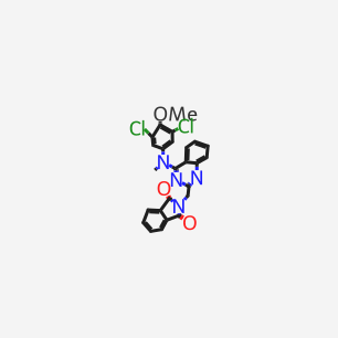 COc1c(Cl)cc(N(C)c2nc(CN3C(=O)c4ccccc4C3=O)nc3ccccc23)cc1Cl